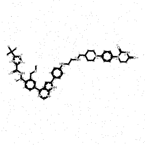 COCc1cc(-c2ncnc3[nH]c(-c4ccc(NCCNCC5CCN(c6ccc(N7CCC(=O)NC7=O)cc6)CC5)cc4)cc23)ccc1[C@@H](C)NC(=O)c1nc(C(C)(C)C)no1